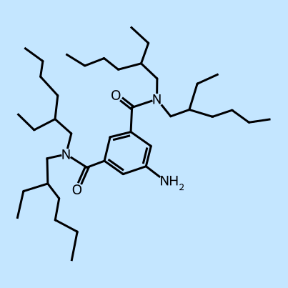 CCCCC(CC)CN(CC(CC)CCCC)C(=O)c1cc(N)cc(C(=O)N(CC(CC)CCCC)CC(CC)CCCC)c1